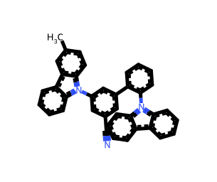 Cc1ccc2c(c1)c1ccccc1n2-c1cc(C#N)cc(-c2ccccc2-n2c3ccccc3c3ccccc32)c1